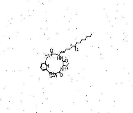 CCCCCCCC(=O)SCC/C=C/[C@@H]1CC(=O)NCc2cccc(n2)C2=N[C@@](C)(CS2)C(=O)NC(C(C)C)C(=O)N1